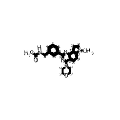 CC(=O)NCc1cccc(-c2nc(N3CCOCC3)c3ccc4c(ccn4C)c3n2)c1